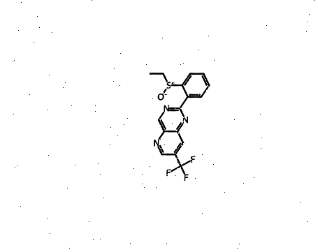 CC[S+]([O-])c1ccccc1-c1ncc2ncc(C(F)(F)F)cc2n1